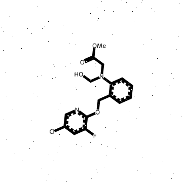 COC(=O)CN(CO)c1ccccc1COc1ncc(Cl)cc1F